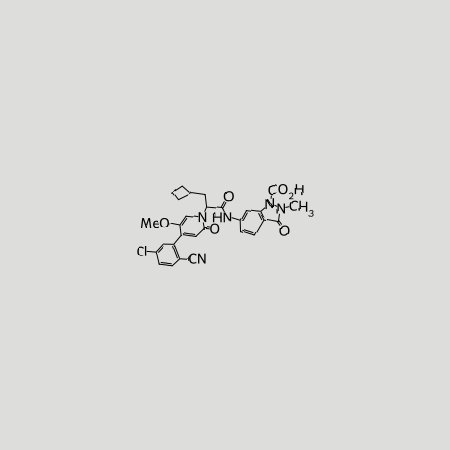 COc1cn(C(CC2CCC2)C(=O)Nc2ccc3c(=O)n(C)n(C(=O)O)c3c2)c(=O)cc1-c1cc(Cl)ccc1C#N